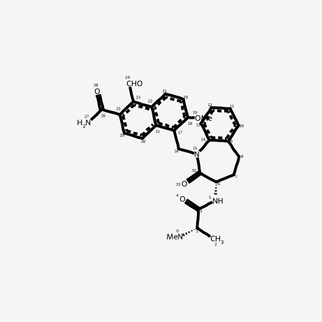 CN[C@@H](C)C(=O)N[C@H]1CCc2ccccc2N(Cc2c(OC)ccc3c(C=O)c(C(N)=O)ccc23)C1=O